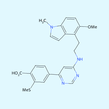 COc1ccc2c(ccn2C)c1CCNc1cc(-c2ccc(C(=O)O)c(SC)c2)ncn1